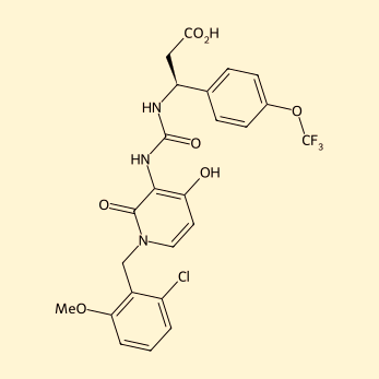 COc1cccc(Cl)c1Cn1ccc(O)c(NC(=O)N[C@@H](CC(=O)O)c2ccc(OC(F)(F)F)cc2)c1=O